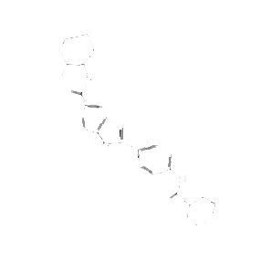 CC1CCCCC1NC(=O)c1ccc2[nH]c(-c3ccc(NC(=O)C4CCCCC4)cc3)cc2c1